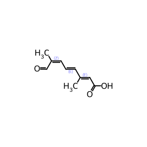 C/C(C=O)=C/C=C/C(C)=C/C(=O)O